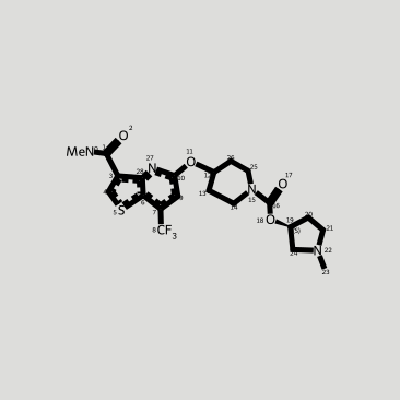 CNC(=O)c1csc2c(C(F)(F)F)cc(OC3CCN(C(=O)O[C@H]4CCN(C)C4)CC3)nc12